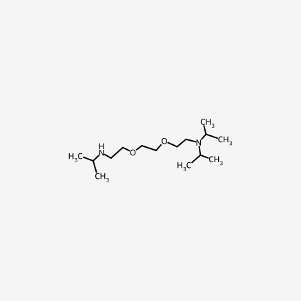 CC(C)NCCOCCOCCN(C(C)C)C(C)C